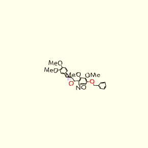 COc1ccc(/C=C/C(=O)c2c(N=O)cc(OCc3ccccc3)c(OC)c2OC)cc1OC